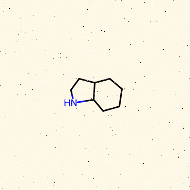 [CH]1CCC2NCCC2C1